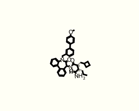 CCC[C@H](C(N)=O)[C@@H](CC1CCC1)C(=O)NC1C(=O)N(Cc2cccc(-c3ccc(OC)cc3)c2)c2ccccc2-c2ccccc21